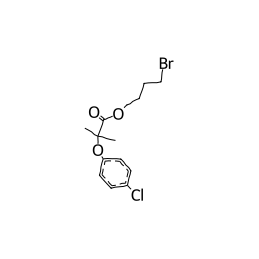 CC(C)(Oc1ccc(Cl)cc1)C(=O)OCCCCBr